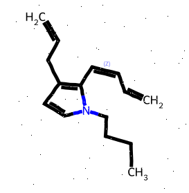 C=C/C=C\c1c(CC=C)ccn1CCCC